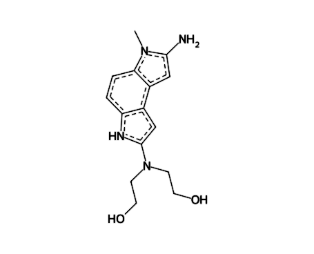 Cn1c(N)cc2c3cc(N(CCO)CCO)[nH]c3ccc21